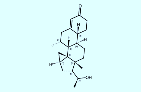 C[C@H](O)[C@@H]1C[C@H]2C[C@]23[C@H]2[C@H](CC[C@]13C)[C@H]1CCC(=O)C=C1C[C@H]2C